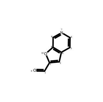 O=Cc1cc2ccncc2o1